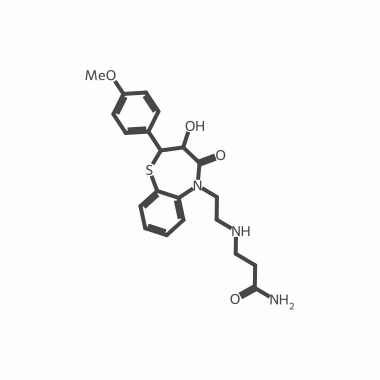 COc1ccc(C2Sc3ccccc3N(CCNCCC(N)=O)C(=O)C2O)cc1